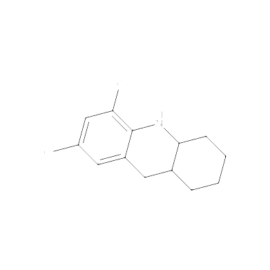 Clc1cc(Cl)c2c(c1)CC1CCCCC1N2